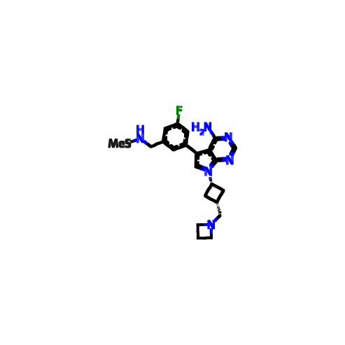 CSNCc1cc(F)cc(-c2cn([C@H]3C[C@@H](CN4CCC4)C3)c3ncnc(N)c23)c1